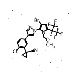 COCn1c(C(F)(C(F)(F)F)C(F)(F)F)cc(Br)c1-n1cc(-c2ccc(Cl)c(C3(C#N)CC3)c2)cn1